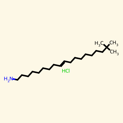 CC(C)(C)CCCCCCCC=CCCCCCCCCN.Cl